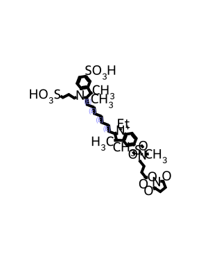 CC[N+]1=C(/C=C/C=C/C=C/C=C2/N(CCCS(=O)(=O)O)c3ccc(S(=O)(=O)O)cc3C2(C)C)C(C)(C)c2cc(S(=O)(=O)N(C)CCCC(=O)ON3C(=O)CCC3=O)ccc21